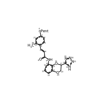 CCCCCc1ccc(C=CC(=O)Nc2cccc3c2OC(c2nnn[nH]2)CO3)c(C)c1